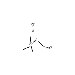 [CH3][Ti+3]([CH3])([CH3])[O][SiH3].[Cl-].[Cl-].[Cl-]